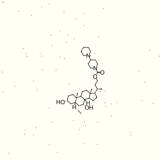 CC[C@H]1[C@@H](O)[C@H]2C3CC[C@H]([C@H](C)CCOC(=O)N4CCC(N5CCCCC5)CC4)[C@@]3(C)CCC2[C@@]2(C)CC[C@@H](O)C[C@@H]12